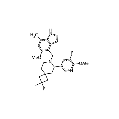 COc1cc(C)c2[nH]ccc2c1CN1CCC2(CC1c1cnc(OC)c(F)c1)CC(F)(F)C2